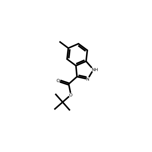 Cc1ccc2[nH]nc(C(=O)OC(C)(C)C)c2c1